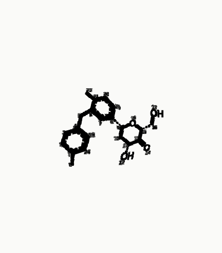 Cc1ccc(Cc2cc([C@H]3C[C@@H](O)C(=O)[C@@H](CO)O3)ccc2C)cc1